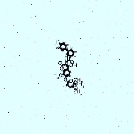 CO[C@@H]1CC[C@H](Oc2ccc3c(O)c(NC(=O)c4cccc(-c5ccc(F)c(F)c5)c4)c(=O)oc3c2C)OC1(C)C